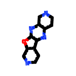 c1cc2nc3c(nc2cn1)oc1cnccc13